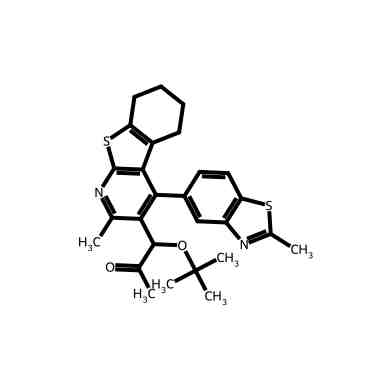 CC(=O)C(OC(C)(C)C)c1c(C)nc2sc3c(c2c1-c1ccc2sc(C)nc2c1)CCCC3